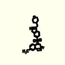 Cc1ccc(N(CC(C)C)S(=O)(=O)c2ccc3c(c2)CNN3CC2CCOCC2)c(C#N)c1